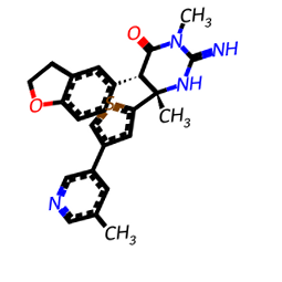 Cc1cncc(-c2csc([C@@]3(C)NC(=N)N(C)C(=O)[C@H]3c3ccc4c(c3)CCO4)c2)c1